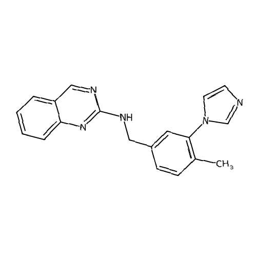 Cc1ccc(CNc2ncc3ccccc3n2)cc1-n1ccnc1